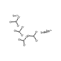 [O-]B([O-])[O-].[O-]B([O-])[O-].[O-]B([O-])[O-].[O-]B([O-])[O-].[Sm+3].[Sm+3].[Sm+3].[Sm+3]